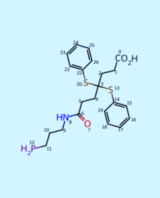 O=C(O)CCC(CCC(=O)NCCCP)(Sc1ccccc1)Sc1ccccc1